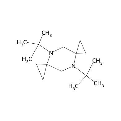 CC(C)(C)N1CC2(CC2)N(C(C)(C)C)CC12CC2